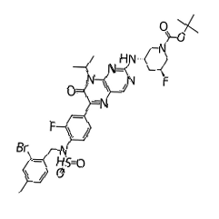 Cc1ccc(CN(c2ccc(-c3nc4cnc(N[C@H]5C[C@H](F)CN(C(=O)OC(C)(C)C)C5)nc4n(C(C)C)c3=O)cc2F)[SH](=O)=O)c(Br)c1